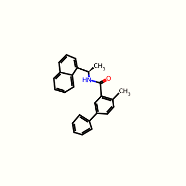 Cc1ccc(-c2ccccc2)cc1C(=O)N[C@H](C)c1cccc2ccccc12